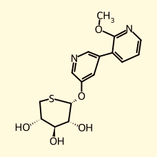 COc1ncccc1-c1cncc(O[C@H]2SC[C@@H](O)[C@H](O)[C@H]2O)c1